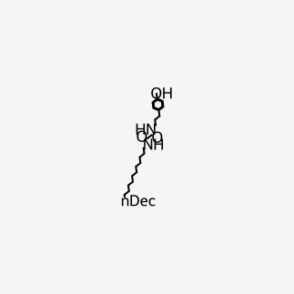 CCCCCCCCCCCCCCCCCCCCCNC(=O)C(=O)NCCCc1ccc(O)cc1